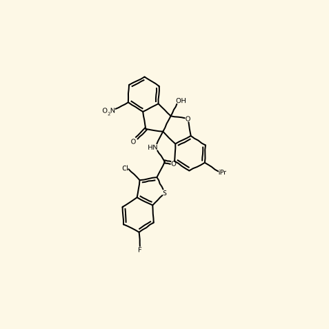 CC(C)c1ccc2c(c1)OC1(O)c3cccc([N+](=O)[O-])c3C(=O)C21NC(=O)c1sc2cc(F)ccc2c1Cl